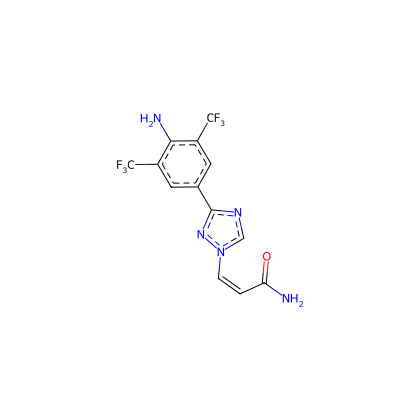 NC(=O)/C=C\n1cnc(-c2cc(C(F)(F)F)c(N)c(C(F)(F)F)c2)n1